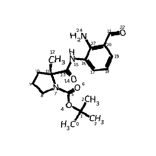 CC(C)(C)OC(=O)N1CCC[C@]1(C)C(=O)Nc1cccc(C=O)c1N